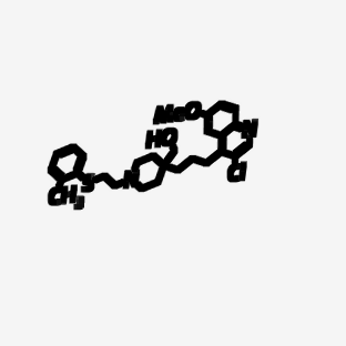 COc1ccc2ncc(Cl)c(CCCC3(CO)CCN(CCSc4ccccc4C)CC3)c2c1